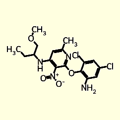 CCC(COC)Nc1cc(C)nc(Oc2c(N)cc(Cl)cc2Cl)c1[N+](=O)[O-]